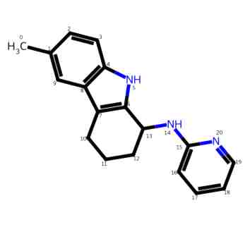 Cc1ccc2[nH]c3c(c2c1)CCCC3Nc1ccccn1